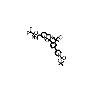 CN(Cc1ccc(-c2nnc(C(F)F)o2)cn1)C(=O)c1ccc(C2=CCN(C(=O)OC(C)(C)C)CC2)cc1C(C)(C)C=O